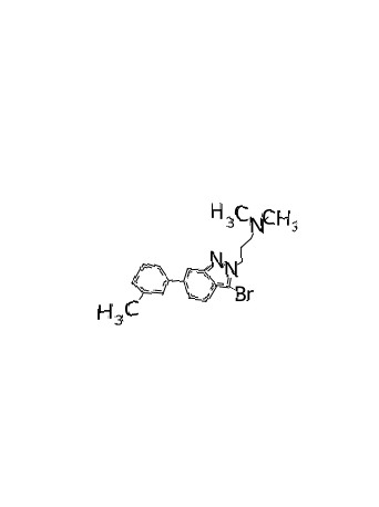 Cc1cccc(-c2ccc3c(Br)n(CCCN(C)C)nc3c2)c1